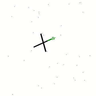 [CH2]C([CH2])(C)Br